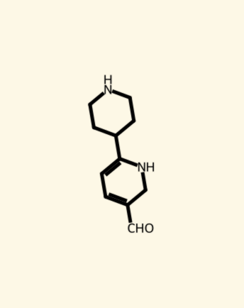 O=CC1=CC=C(C2CCNCC2)NC1